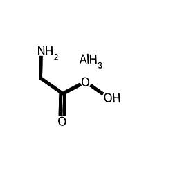 NCC(=O)OO.[AlH3]